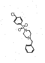 O=S(=O)(c1ccc(Cl)cc1)N1CCN(Cc2ccccc2)CC1